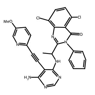 COc1ccc(C#Cc2c(N)ncnc2NC(C)c2nc3c(Cl)ccc(Cl)c3c(=O)n2-c2ccccc2)nc1